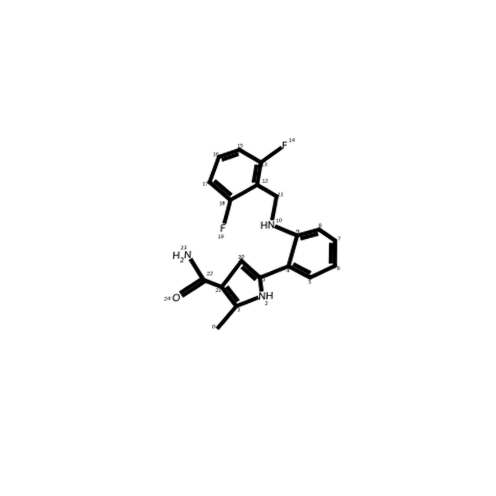 Cc1[nH]c(-c2ccccc2NCc2c(F)cccc2F)cc1C(N)=O